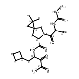 CC(C)(C)NC(=O)N[C@H](C(=O)N1CC2(C[C@H]1C(=O)NC(CC1CCC1)C(=O)C(N)=O)CC2(C)C)C(C)(C)C